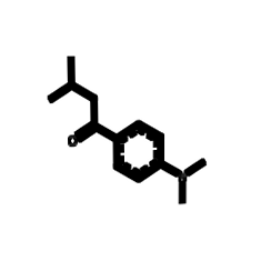 CC(C)CC(=O)c1ccc(N(C)C)cc1